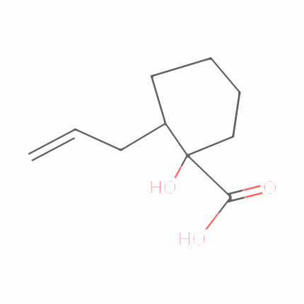 C=CCC1CCCCC1(O)C(=O)O